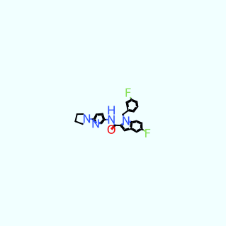 O=C(Nc1ccc(N2CCCC2)nc1)c1cc2cc(F)ccc2n1Cc1cccc(F)c1